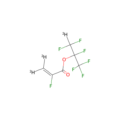 [2H]C([2H])=C(F)C(=O)OC(F)(C([2H])(F)F)C(F)(F)F